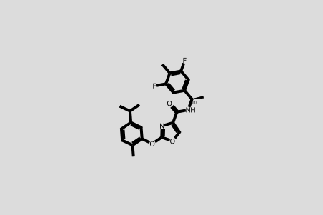 Cc1ccc(C(C)C)cc1Oc1nc(C(=O)N[C@H](C)c2cc(F)c(C)c(F)c2)co1